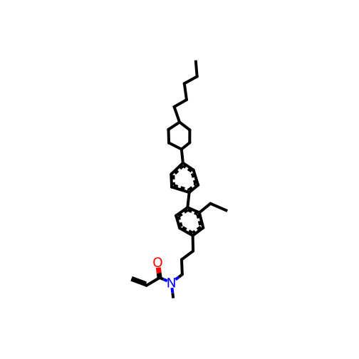 C=CC(=O)N(C)CCCc1ccc(-c2ccc(C3CCC(CCCCC)CC3)cc2)c(CC)c1